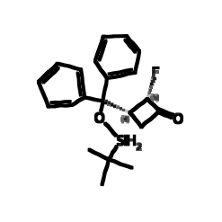 CC(C)(C)[SiH2]OC(c1ccccc1)(c1ccccc1)[C@H]1CC(=O)[C@H]1F